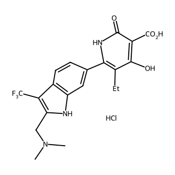 CCc1c(-c2ccc3c(C(F)(F)F)c(CN(C)C)[nH]c3c2)[nH]c(=O)c(C(=O)O)c1O.Cl